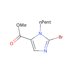 CCCCCn1c(C(=O)OC)cnc1Br